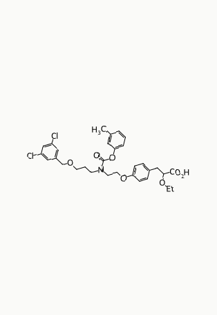 CCOC(Cc1ccc(OCCN(CCCOCc2cc(Cl)cc(Cl)c2)C(=O)Oc2cccc(C)c2)cc1)C(=O)O